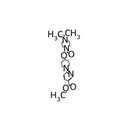 CCOC(=O)c1ccc(N2CCC(OC(=O)N3CCN(C(C)C)CC3)CC2)nc1